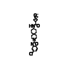 O=C(NC1CCC2(CC1)CCN(c1nc3cc(Cl)ccc3o1)CC2)C1C[S+]([O-])C1